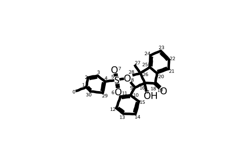 Cc1ccc(S(=O)(=O)OC(c2ccccc2)C2(O)C(=O)c3ccccc3C2(C)C)cc1